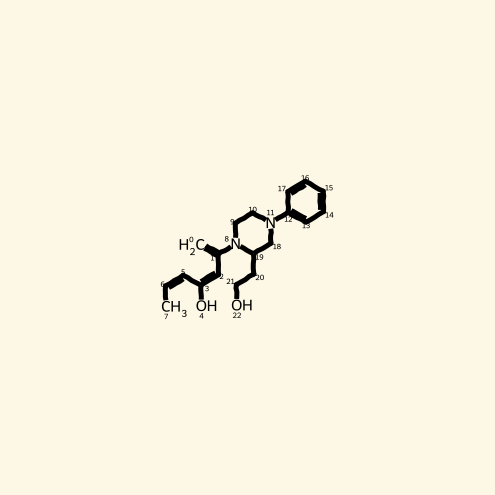 C=C(/C=C(O)\C=C/C)N1CCN(c2ccccc2)CC1CCO